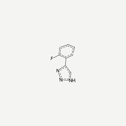 Fc1ccccc1-c1c[nH]nn1